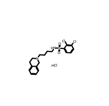 Cl.O=S(=O)(NCCCCN1CCc2ccccc2C1)c1cccc(Cl)c1Cl